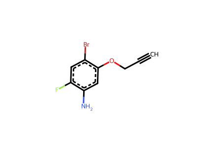 C#CCOc1cc(N)c(F)cc1Br